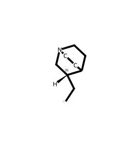 [CH2]C[C@@H]1CN2CCC1CC2